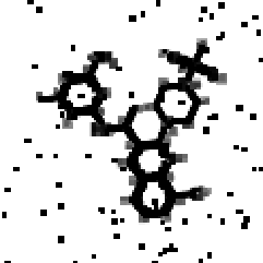 Cc1nc(N)nc(NC(C)c2cc3cccc(Cl)c3nc2N2CCN(S(C)(=O)=O)CC2)n1